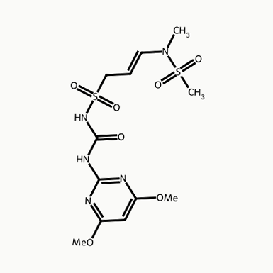 COc1cc(OC)nc(NC(=O)NS(=O)(=O)CC=CN(C)S(C)(=O)=O)n1